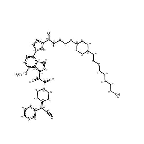 COc1cnc(-n2cnc(C(=O)NCCCN3CCN(CCOCCOCCO)CC3)n2)c2[nH]cc(C(=O)C(=O)N3CCC(=C(C#N)c4ccccn4)CC3)c12